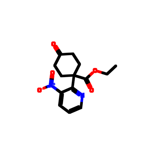 CCOC(=O)C1(c2ncccc2[N+](=O)[O-])CCC(=O)CC1